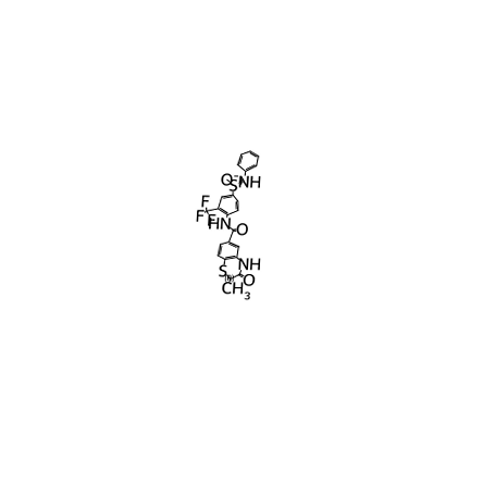 C[C@H]1Sc2ccc(C(=O)Nc3ccc([S+]([O-])Nc4ccccc4)cc3C(F)(F)F)cc2NC1=O